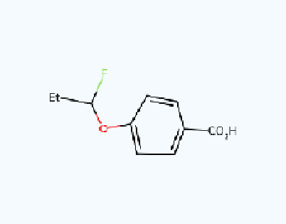 CCC(F)Oc1ccc(C(=O)O)cc1